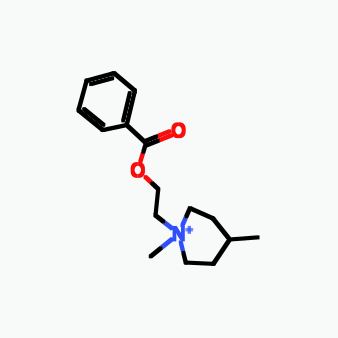 CC1CC[N+](C)(CCOC(=O)c2ccccc2)CC1